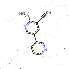 C#Cc1cc(-c2cccnc2)cnc1C(=O)O